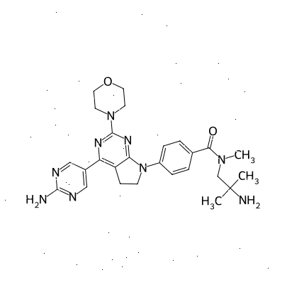 CN(CC(C)(C)N)C(=O)c1ccc(N2CCc3c(-c4cnc(N)nc4)nc(N4CCOCC4)nc32)cc1